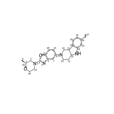 C[C@H]1CN(c2nc3cc(N4CCC5Nc6cc(F)ccc6C5C4)ccc3o2)CCO1